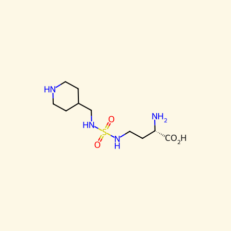 N[C@@H](CCNS(=O)(=O)NCC1CCNCC1)C(=O)O